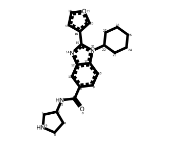 O=C(NC1CCNC1)c1ccc2c(c1)nc(-c1ccoc1)n2C1CCCCC1